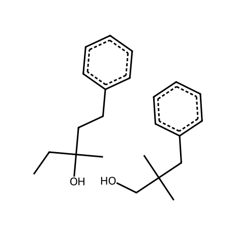 CC(C)(CO)Cc1ccccc1.CCC(C)(O)CCc1ccccc1